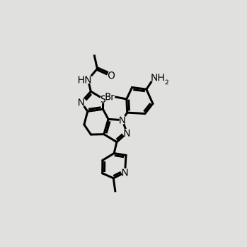 CC(=O)Nc1nc2c(s1)-c1c(c(-c3ccc(C)nc3)nn1-c1ccc(N)cc1Br)CC2